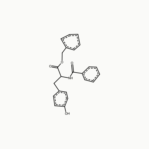 O=C(NC(Cc1ccc(O)cc1)C(=O)OCc1ccccc1)c1ccccc1